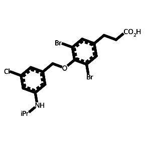 CC(C)Nc1cc(Cl)cc(COc2c(Br)cc(CCC(=O)O)cc2Br)c1